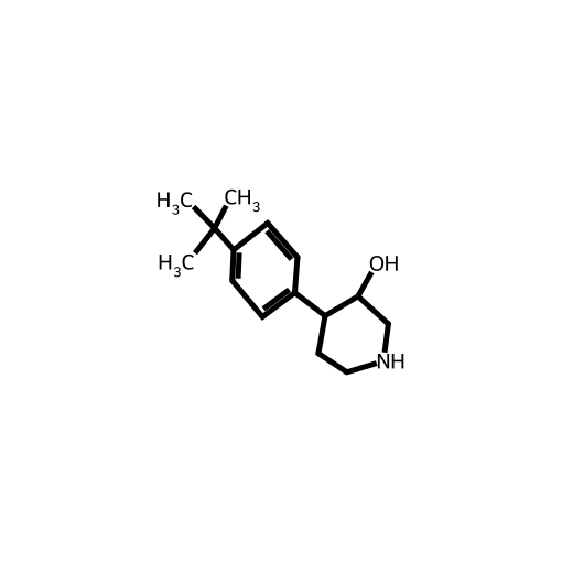 CC(C)(C)c1ccc(C2CCNCC2O)cc1